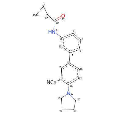 N#Cc1cc(-c2cccc(NC(=O)C3CC3)c2)ccc1N1CCCC1